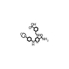 NC(=O)c1cnc(Nc2ccc(N3CCOCC3)cc2)cc1NCc1cccc(C(=O)O)c1